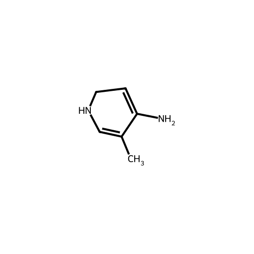 CC1=CNCC=C1N